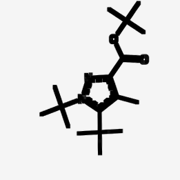 Cc1c(C(=O)OC(C)(C)C)nn(C(C)(C)C)c1C(C)(C)C